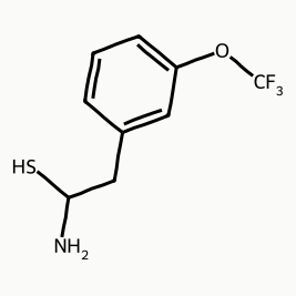 NC(S)Cc1cccc(OC(F)(F)F)c1